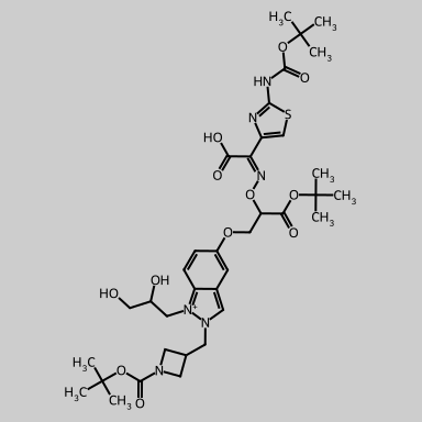 CC(C)(C)OC(=O)Nc1nc(C(=NOC(COc2ccc3c(c2)cn(CC2CN(C(=O)OC(C)(C)C)C2)[n+]3CC(O)CO)C(=O)OC(C)(C)C)C(=O)O)cs1